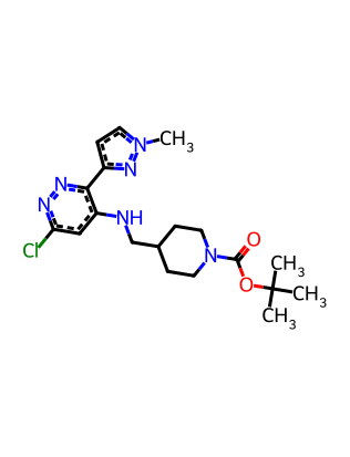 Cn1ccc(-c2nnc(Cl)cc2NCC2CCN(C(=O)OC(C)(C)C)CC2)n1